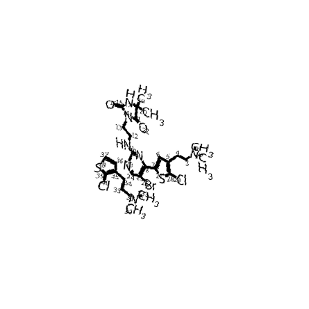 CN(C)CCc1cc(-c2nc(NCCN3C(=O)NC(C)(C)C3=O)ncc2Br)sc1Cl.CN(C)CCc1ccsc1Cl